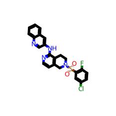 O=S(=O)(c1cc(Cl)ccc1F)N1CCc2c(ccnc2Nc2cnc3ccccc3c2)C1